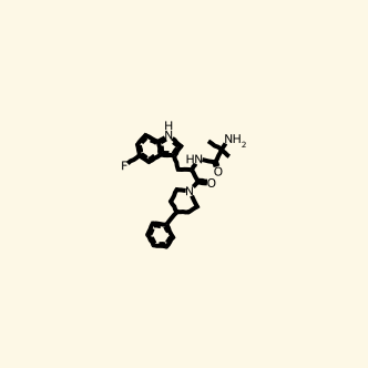 CC(C)(N)C(=O)NC(Cc1c[nH]c2ccc(F)cc12)C(=O)N1CCC(c2ccccc2)CC1